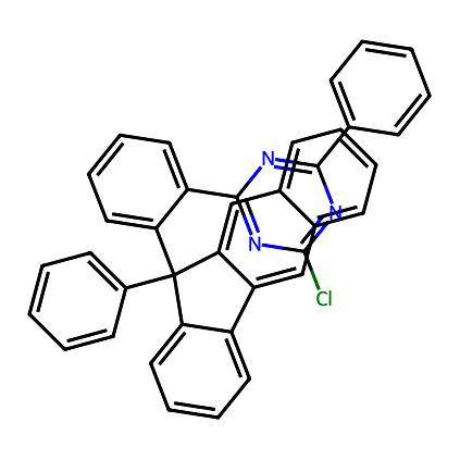 Clc1nc(-c2ccccc2)nc(-c2ccccc2C2(c3ccccc3)c3ccccc3-c3cc4ccccc4cc32)n1